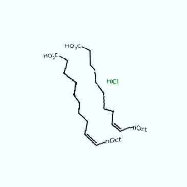 CCCCCCCC/C=C\CCCCCCCC(=O)O.CCCCCCCC/C=C\CCCCCCCC(=O)O.Cl